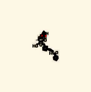 C[C@H](O)[C@@H]1[C@H](CO)ON(Cc2cccc(C#CCNC(=O)c3ccccc3)c2)[C@@H]1C(=O)N[C@H]1C[C@H]2CC([C@@H]1C)C2(C)C